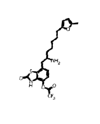 Cc1ccc(CCCCCC(N)Cc2ccc(OC(=O)C(F)(F)F)c3[nH]c(=O)sc23)o1